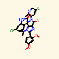 COc1ccc(-c2nc3c(n2C(C)C)C2(C(=O)Nc4cc(Cl)ccc42)N(c2cc(Cl)cnc2C)C3=O)c(OC)c1